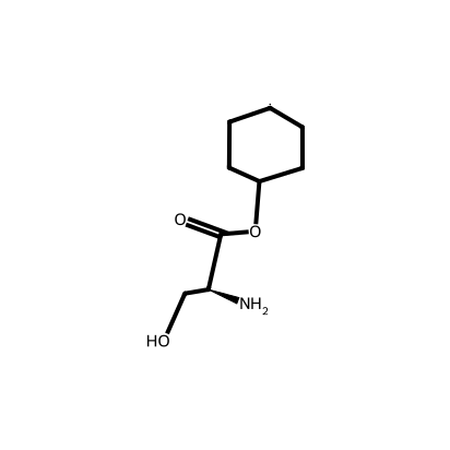 N[C@@H](CO)C(=O)OC1CC[CH]CC1